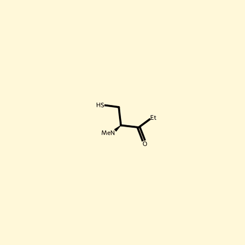 CCC(=O)[C@H](CS)NC